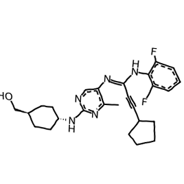 Cc1nc(N[C@H]2CC[C@H](CO)CC2)ncc1/N=C(\C#CC1CCCC1)Nc1c(F)cccc1F